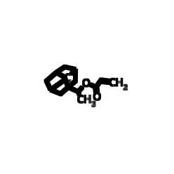 C=CC(=O)OC(C)C12CC3CC(CC(C3)C1)C2